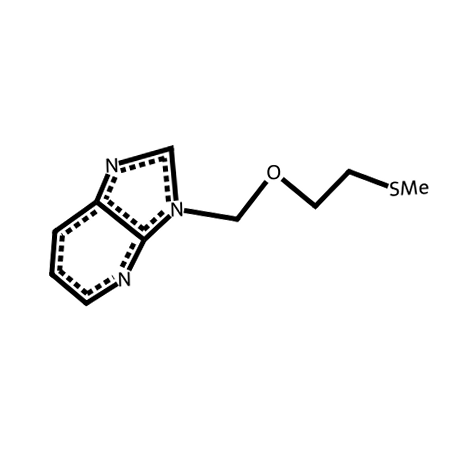 CSCCOCn1cnc2cccnc21